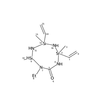 C=C[Si]1(C)NC(=O)N(CC)[SiH](C)N[Si](C)(C=C)N1